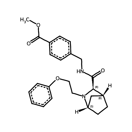 COC(=O)c1ccc(CNC(=O)[C@H]2[C@@H]3CC[C@@H](C3)N2CCOc2ccccc2)cc1